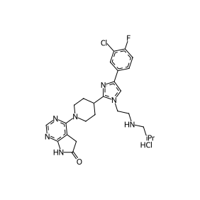 CC(C)CNCCn1cc(-c2ccc(F)c(Cl)c2)nc1C1CCN(c2ncnc3c2CC(=O)N3)CC1.Cl